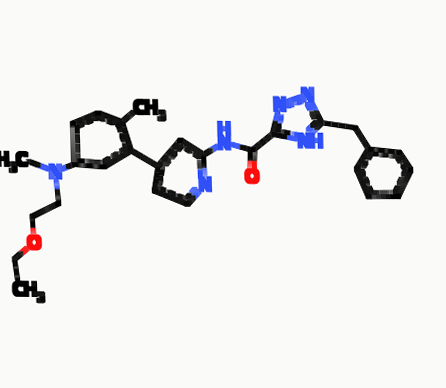 CCOCCN(C)c1ccc(C)c(-c2ccnc(NC(=O)c3nnc(Cc4ccccc4)[nH]3)c2)c1